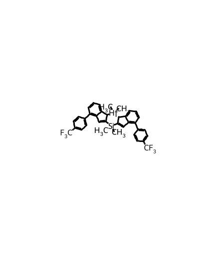 C[Si]1(C)C2=Cc3c(-c4ccc(C(F)(F)F)cc4)cccc3[CH]2[Hf]([CH3])([CH3])[CH]2C1=Cc1c(-c3ccc(C(F)(F)F)cc3)cccc12